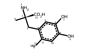 C[C@](N)(Cc1cc(O)c(O)cc1[18F])C(=O)O